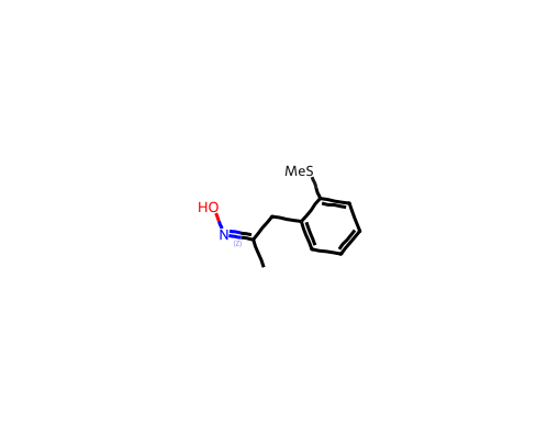 CSc1ccccc1C/C(C)=N\O